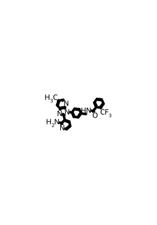 Cc1cnc2c(c1)nc(-c1cccnc1N)n2-c1ccc(CNC(=O)c2ccccc2C(F)(F)F)cc1